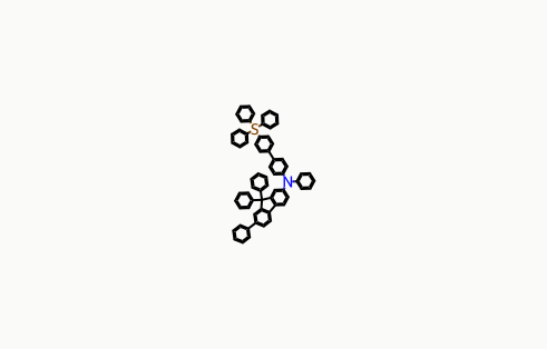 c1ccc(-c2ccc3c(c2)C(c2ccccc2)(c2ccccc2)c2cc(N(c4ccccc4)c4ccc(-c5ccc(S(c6ccccc6)(c6ccccc6)c6ccccc6)cc5)cc4)ccc2-3)cc1